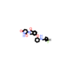 O=C1CCC(N2Cc3cc(O[C@@H]4CCCC[C@@H]4NCC45CC(C4)[C@H](F)C5)ccc3C2=O)C(=O)N1